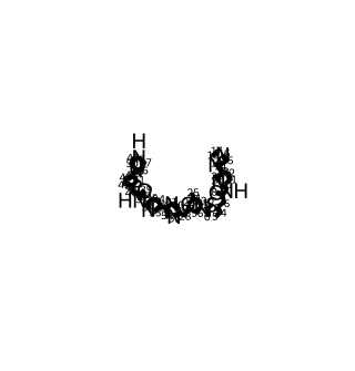 C=C(S/C(=C\C)CC(=O)Nc1ccc(-c2cnccn2)cn1)N1CC(C)OC(Cc2cnc(-c3ccc(NC(=O)Cc4ccc(N5CCNCC5)s4)nc3)cn2)C1